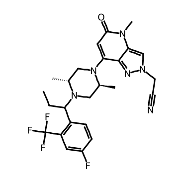 CCC(c1ccc(F)cc1C(F)(F)F)N1C[C@H](C)N(c2cc(=O)n(C)c3cn(CC#N)nc23)C[C@H]1C